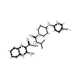 CC(C)[C@H](NC(=O)c1nc2ccccc2nc1O)C(=O)N1CCC(Oc2ccc(F)cn2)CC1